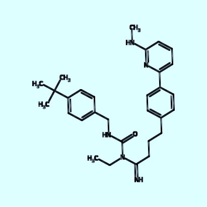 CCN(C(=N)CCCc1ccc(-c2cccc(NC)n2)cc1)C(=O)NCc1ccc(C(C)(C)C)cc1